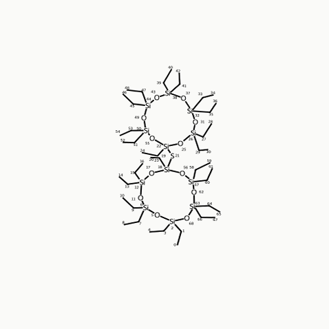 CC[Si]1(CC)O[Si](CC)(CC)O[Si](CC)(CC)O[Si](CC)(S[Si]2(CC)O[Si](CC)(CC)O[Si](CC)(CC)O[Si](CC)(CC)O[Si](CC)(CC)O[Si](CC)(CC)O2)O[Si](CC)(CC)O[Si](CC)(CC)O1